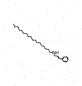 CCCCCCCCCCCCCCCCCCNCC=Cc1ccccc1